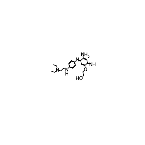 CCN(CC)CCNc1ccc(/N=C2\C=C(OCCO)C(=N)C=C2N)cc1